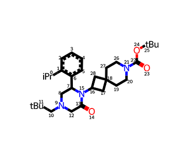 CC(C)c1ccccc1C1CN(CC(C)(C)C)CC(=O)N1C1CC2(CCN(C(=O)OC(C)(C)C)CC2)C1